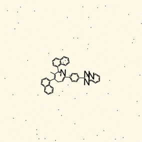 CC1=C(c2cccc3ccccc23)CC=C(c2ccc(-c3nc4ccccn4n3)cc2)N=C1c1cccc2ccccc12